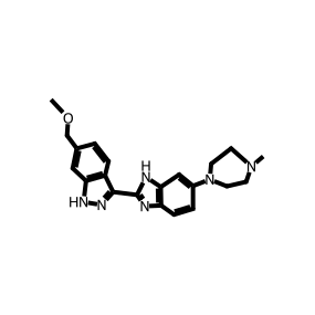 COCc1ccc2c(-c3nc4ccc(N5CCN(C)CC5)cc4[nH]3)n[nH]c2c1